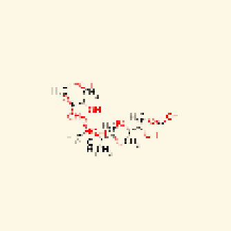 C.CC(=O)C(C)O.CC(=O)O.CC(O)C(=O)O.CC(O)C(C)O.CCO.O=CO